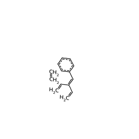 C=C.C=CC(C=C)=Cc1ccccc1